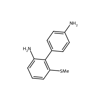 CSc1cccc(N)c1-c1ccc(N)cc1